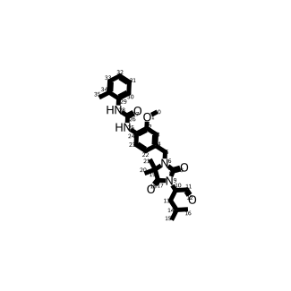 COc1cc(CN2C(=O)N(C(C=O)CC(C)C)C(=O)C2(C)C)ccc1NC(=O)Nc1ccccc1C